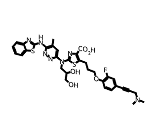 Cc1cc(N(CC(O)CO)c2nc(C(=O)O)c(CCCOc3ccc(C#CCN(C)C)cc3F)s2)nnc1Nc1nc2ccccc2s1